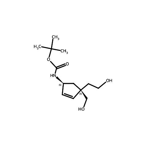 CC(C)(C)OC(=O)N[C@@H]1C=C[C@@](CO)(CCO)C1